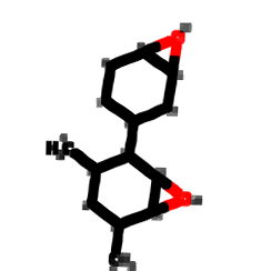 CC1CC(C)C(C2CCC3OC3C2)C2OC12